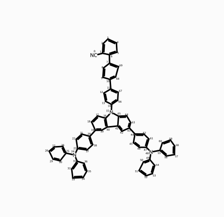 N#Cc1ccccc1-c1ccc(-c2ccc(-n3c4ccc(-c5ccc(N(c6ccccc6)c6ccccc6)cc5)cc4c4cc(-c5ccc(N(c6ccccc6)c6ccccc6)cc5)ccc43)cc2)cc1